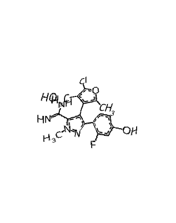 Cc1oc(Cl)c(C)c1-c1c(-c2ccc(O)cc2F)nn(C)c1C(=N)NO